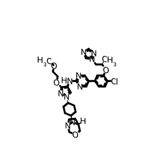 COCCOc1nn([C@H]2CC[C@H](N3[C@@H]4CCN3COC4)CC2)cc1Nc1ncc(-c2ccc(Cl)c(O[C@@H](C)Cn3cncn3)c2)cn1